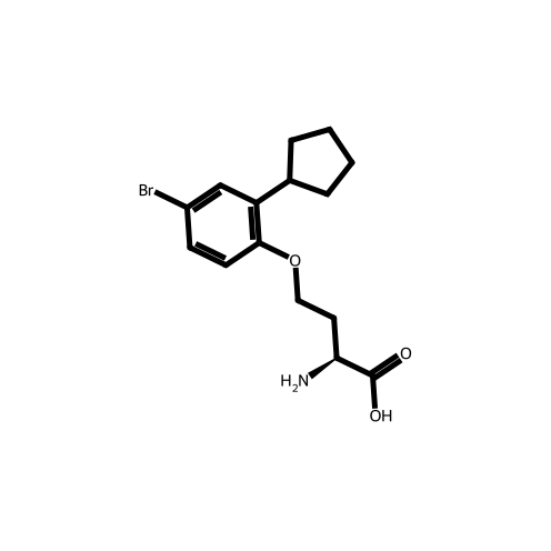 N[C@@H](CCOc1ccc(Br)cc1C1CCCC1)C(=O)O